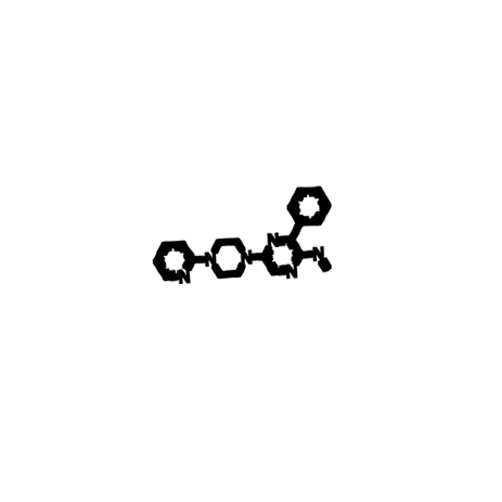 C=Nc1ncc(N2CCN(c3ccccn3)CC2)nc1-c1ccccc1